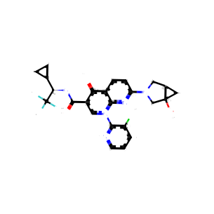 O=C(N[C@H](C1CC1)C(F)(F)F)c1cn(-c2ncccc2Cl)c2nc(N3CC4CC4(O)C3)ccc2c1=O